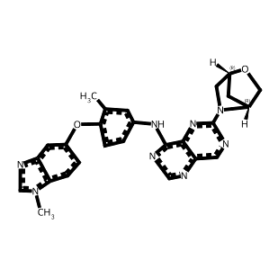 Cc1cc(Nc2ncnc3cnc(N4C[C@H]5C[C@@H]4CO5)nc23)ccc1Oc1ccc2c(c1)ncn2C